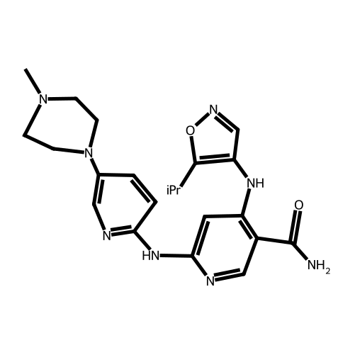 CC(C)c1oncc1Nc1cc(Nc2ccc(N3CCN(C)CC3)cn2)ncc1C(N)=O